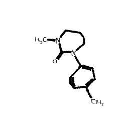 Cc1ccc(N2CCCN(C)C2=O)cc1